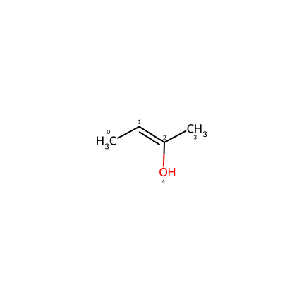 CC=C(C)O